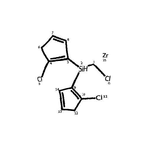 ClC[SiH](C1=C(Cl)CC=C1)C1=C(Cl)CC=C1.[Zr]